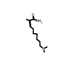 CC(=CCCCCCCN(C)C)C(N)=O